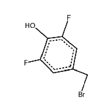 Oc1c(F)cc(CBr)cc1F